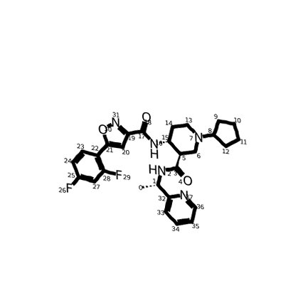 C[C@H](NC(=O)[C@@H]1CN(C2CCCC2)CC[C@H]1NC(=O)c1cc(-c2ccc(F)cc2F)on1)c1ccccn1